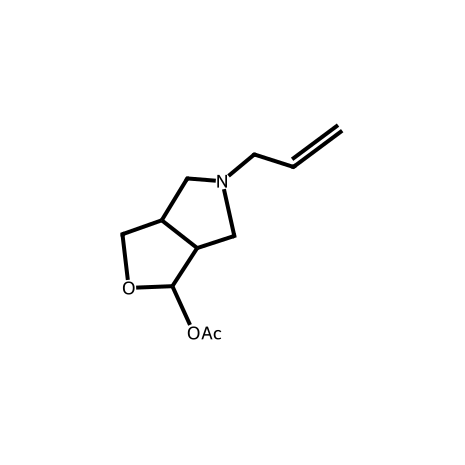 C=CCN1CC2COC(OC(C)=O)C2C1